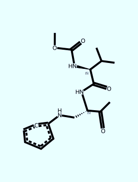 COC(=O)N[C@H](C(=O)N[C@@H](CNc1ccccc1)C(C)=O)C(C)C